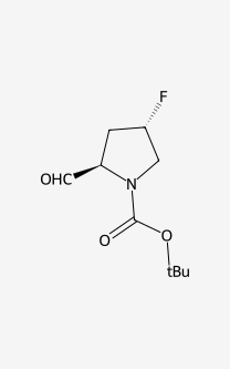 CC(C)(C)OC(=O)N1C[C@@H](F)C[C@@H]1C=O